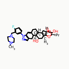 CCC[C@@H]1O[C@@H]2C[C@H]3[C@@H]4CCC5=Cc6c(cnn6-c6ccc(F)c(CN7CCN(C)CC7)c6)C[C@]5(C)[C@H]4[C@@H](O)C[C@]3(C)[C@]2(C(=O)CO)O1